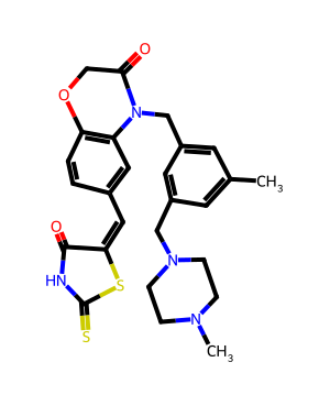 Cc1cc(CN2CCN(C)CC2)cc(CN2C(=O)COc3ccc(/C=C4/SC(=S)NC4=O)cc32)c1